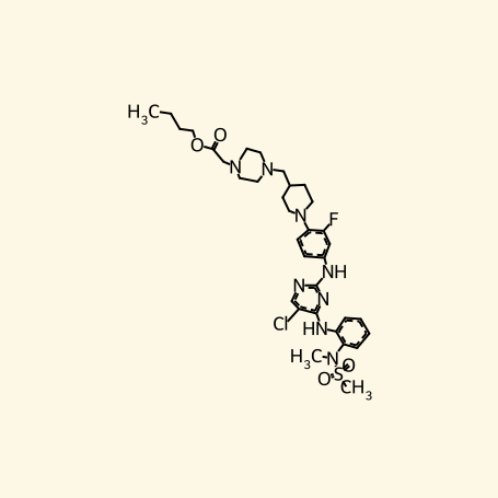 CCCCOC(=O)CN1CCN(CC2CCN(c3ccc(Nc4ncc(Cl)c(Nc5ccccc5N(C)S(C)(=O)=O)n4)cc3F)CC2)CC1